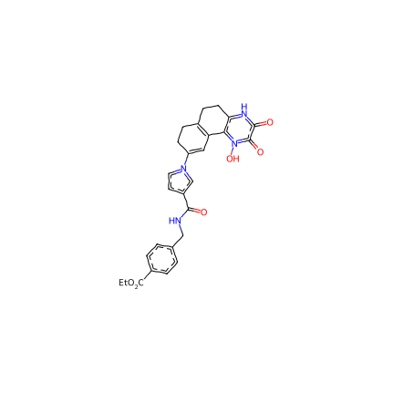 CCOC(=O)c1ccc(CNC(=O)c2ccn(C3=CC4=C(CC3)CCc3[nH]c(=O)c(=O)n(O)c34)c2)cc1